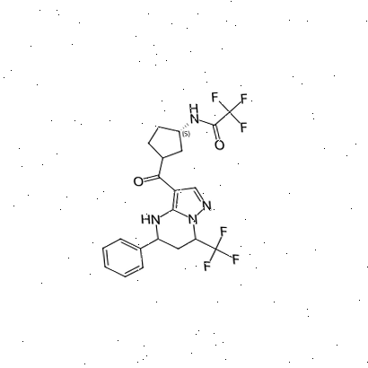 O=C(c1cnn2c1NC(c1ccccc1)CC2C(F)(F)F)C1CC[C@H](NC(=O)C(F)(F)F)C1